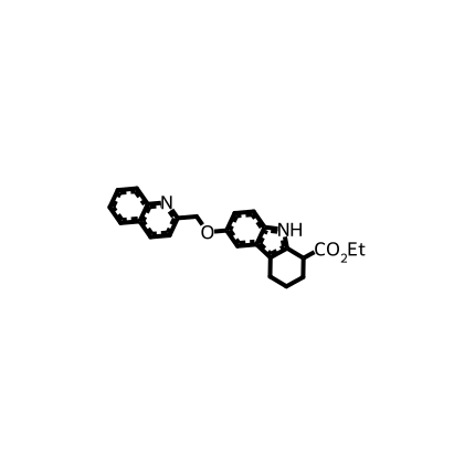 CCOC(=O)C1CCCc2c1[nH]c1ccc(OCc3ccc4ccccc4n3)cc21